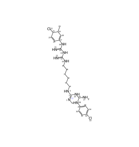 C/N=C(/NCCCCCCNC(=N)NC(=N)NC1=CC(C)C(Cl)C=C1)NC(N)Nc1ccc(Cl)cc1